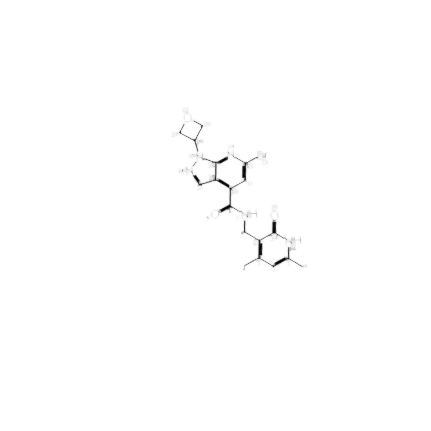 Cc1cc(C)c(CNC(=O)c2cc(Br)nc3c2cnn3C2COC2)c(=O)[nH]1